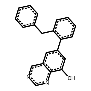 Oc1cc(-c2ccccc2Cc2ccccc2)cc2cncnc12